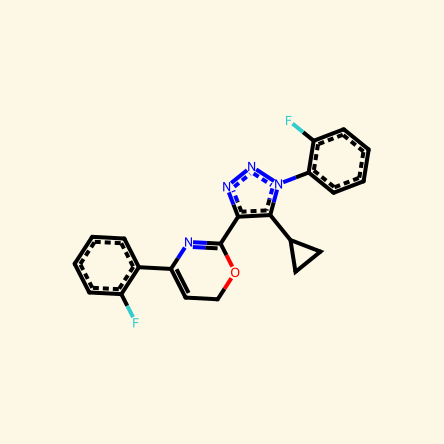 Fc1ccccc1C1=CCOC(c2nnn(-c3ccccc3F)c2C2CC2)=N1